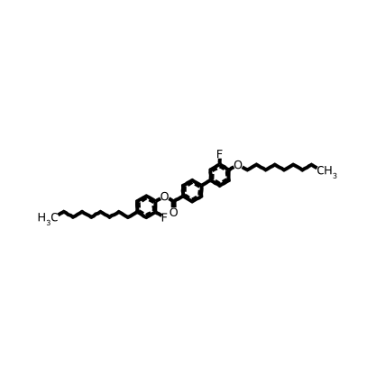 CCCCCCCCCOc1ccc(-c2ccc(C(=O)Oc3ccc(CCCCCCCCC)cc3F)cc2)cc1F